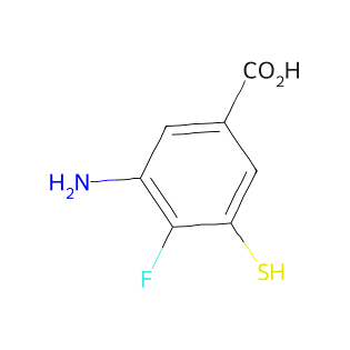 Nc1cc(C(=O)O)cc(S)c1F